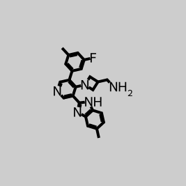 Cc1cc(F)cc(-c2cncc(-c3nc4cc(C)ccc4[nH]3)c2N2CC(CN)C2)c1